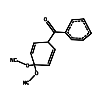 N#COC1(OC#N)C=CC(C(=O)c2ccccc2)C=C1